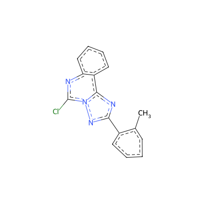 Cc1ccccc1-c1nc2c3ccccc3nc(Cl)n2n1